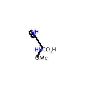 COCCCCN[C@@H](CCCCCCCc1ccc2c(n1)NCCC2)C(=O)O